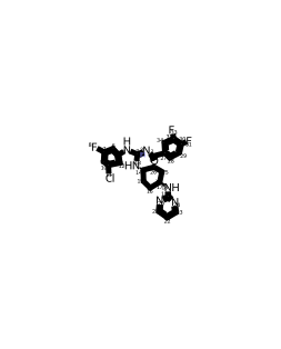 O=C(/N=C(/Nc1cc(F)cc(Cl)c1)N[C@H]1CC[C@H](Nc2ncccn2)CC1)c1ccc(F)c(F)c1